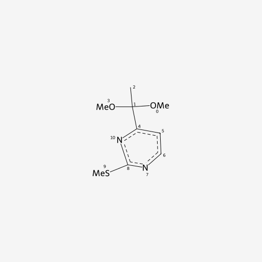 COC(C)(OC)c1ccnc(SC)n1